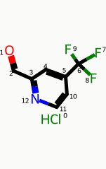 Cl.O=Cc1cc(C(F)(F)F)ccn1